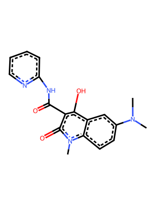 CN(C)c1ccc2c(c1)c(O)c(C(=O)Nc1ccccn1)c(=O)n2C